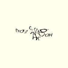 C=C(CC(=O)OCC)NC(C(=O)[O-])c1ccc(O)cc1.[K+]